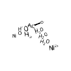 CC(=O)[O-].O.O.O.O.[Ni+2].[Ni].[OH-]